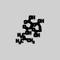 C=C(C)C.O=C(O)/C=C\C(=O)O.O=C(O)/C=C\C(=O)O